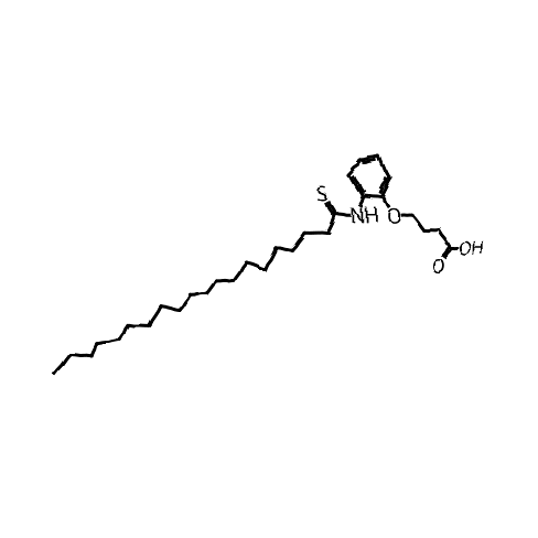 CCCCCCCCCCCCCCCCCCCC(=S)Nc1ccccc1OCCCC(=O)O